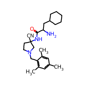 Cc1cc(C)c(CN2CCC(C#N)(NC(=O)C(N)CC3CCCCC3)C2)c(C)c1